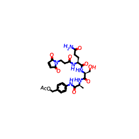 CC(=O)OCc1ccc(NC(=O)[C@H](C)NC(=O)[C@H](CO)NC(=O)[C@H](CCC(N)=O)NC(=O)CCN2C(=O)C=CC2=O)cc1